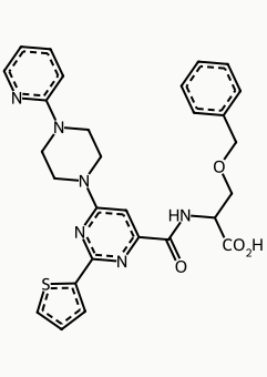 O=C(NC(COCc1ccccc1)C(=O)O)c1cc(N2CCN(c3ccccn3)CC2)nc(-c2cccs2)n1